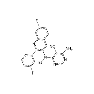 CCN(c1cc2ccc(F)cc2nc1-c1cccc(F)c1)c1ncnc(N)c1C#N